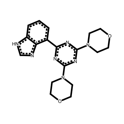 c1cc(-c2nc(N3CCOCC3)nc(N3CCOCC3)n2)c2nc[nH]c2c1